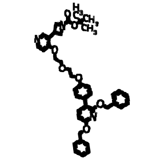 CC(C)(C)OC(=O)N1CC(c2cnccc2OCCOCCOc2ccc(-c3ccc(OCc4ccccc4)nc3OCc3ccccc3)cc2)C1